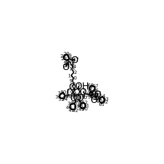 CC(OC1C(O)C(OCCCCCCCN2C(=O)c3ccccc3C2=O)C(OCc2ccccc2)C(OCc2ccccc2)C1OCc1ccccc1)c1cn(S(=O)(=O)c2ccccc2)c2ccccc12